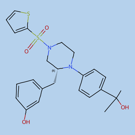 CC(C)(O)c1ccc(N2CCN(S(=O)(=O)c3cccs3)C[C@H]2Cc2cccc(O)c2)cc1